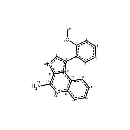 COc1ccccc1-c1cnc2c(N)nc3ccccc3n12